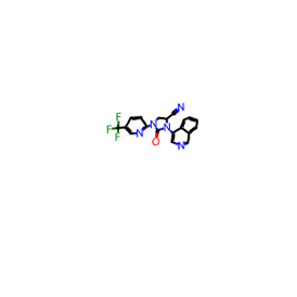 N#CC1CN(c2ccc(C(F)(F)F)cn2)C(=O)N1c1cncc2ccccc12